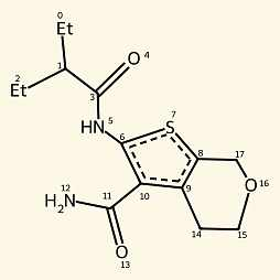 CCC(CC)C(=O)Nc1sc2c(c1C(N)=O)CCOC2